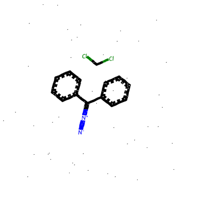 ClCCl.[N-]=[N+]=C(c1ccccc1)c1ccccc1